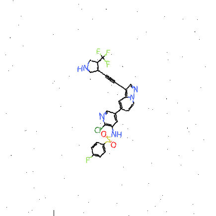 O=S(=O)(Nc1cc(-c2ccn3ncc(C#CC4CNCC4C(F)(F)F)c3c2)cnc1Cl)c1ccc(F)cc1